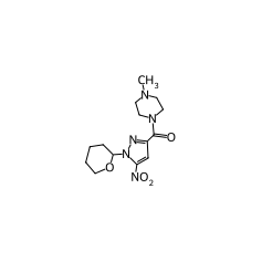 CN1CCN(C(=O)c2cc([N+](=O)[O-])n(C3CCCCO3)n2)CC1